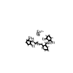 CCc1cccc(CC)c1NCCNCc1ncccc1CNc1c(CC)cccc1CC.[Cl-].[Cl-].[Co+2]